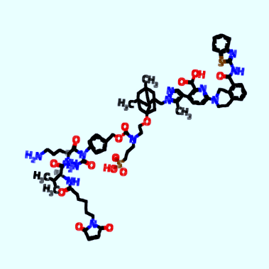 Cc1c(-c2ccc(N3CCc4cccc(C(=O)Nc5nc6ccccc6s5)c4C3)nc2C(=O)O)cnn1CC12CC3(C)CC(C)(C1)CC(OCCN(CCCS(=O)(=O)O)C(=O)OCc1ccc(N(C(N)=O)C(=O)[C@H](CCCN)NC(=O)[C@@H](NC(=O)CCCCCN4C(=O)C=CC4=O)C(C)C)cc1)(C3)C2